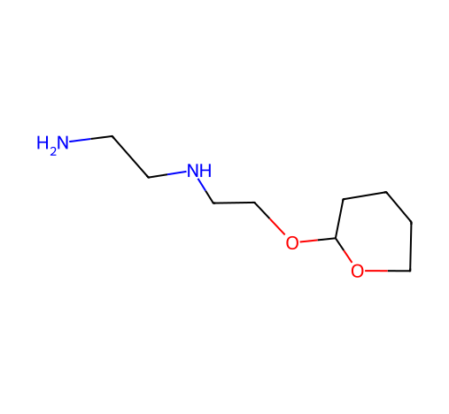 NCCNCCOC1CCCCO1